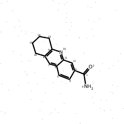 NC(=O)c1ccc2cc3c(nc2c1)CCCC3